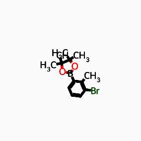 Cc1c(Br)cccc1B1OC(C)(C)C(C)(C)O1